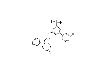 CN1CCC(COCc2cc(-c3cccc(F)c3)cc(C(F)(F)F)c2)(c2ccccc2)CC1